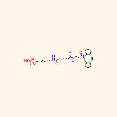 CP(=O)(O)OCCCCCCNC(=O)CCCCC(=O)NCCC(=O)N1Cc2ccccc2C#Cc2ccccc21